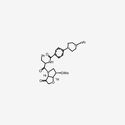 CCCN1CCN(c2ccc(C(=O)NC(CC(C)C)C(=O)N3C[C@@H](OC)[C@H]4OCC(=O)[C@H]43)cc2)CC1